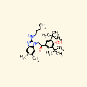 CCCCNc1nc2cc(C)c(C)cc2n1CC(=O)c1cc(C(C)(C)C)c(O)c(C(C)(C)C)c1